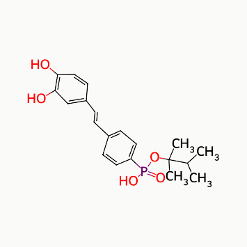 CC(C)C(C)(C)OP(=O)(O)c1ccc(C=Cc2ccc(O)c(O)c2)cc1